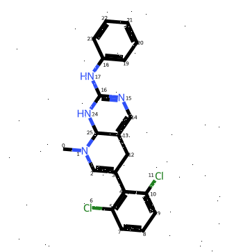 CN1C=C(c2c(Cl)cccc2Cl)CC2=CN=C(Nc3ccccc3)NC21